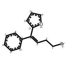 BrCCC=C(c1ccccc1)c1ccco1